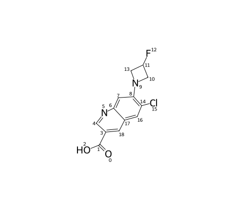 O=C(O)c1cnc2cc(N3CC(F)C3)c(Cl)cc2c1